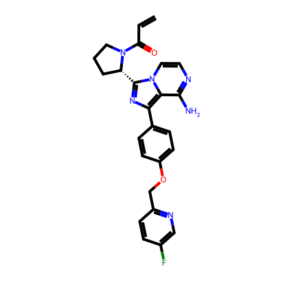 C=CC(=O)N1CCC[C@H]1c1nc(-c2ccc(OCc3ccc(F)cn3)cc2)c2c(N)nccn12